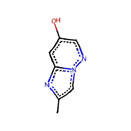 Cc1cn2ncc(O)cc2n1